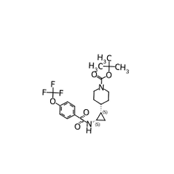 CC(C)(C)OC(=O)N1CCC([C@@H]2C[C@@H]2NS(=O)(=O)c2ccc(OC(F)(F)F)cc2)CC1